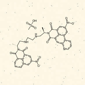 CS(=O)(=O)O.C[C@H](CNCCNC[C@@H](C)N1C(=O)c2cc([N+](=O)[O-])cc3c2c(cc2ncccc23)C1=O)N1C(=O)c2cccc3cc([N+](=O)[O-])cc(c23)C1=O